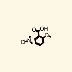 CN(C)Cl.COc1ccccc1C(=O)O